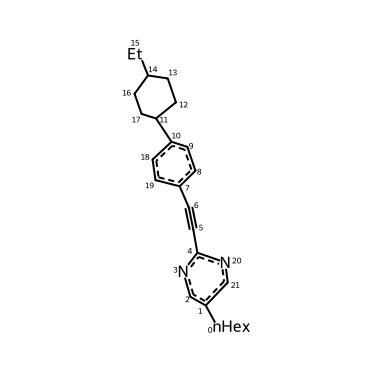 CCCCCCc1cnc(C#Cc2ccc(C3CCC(CC)CC3)cc2)nc1